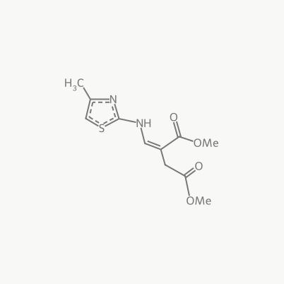 COC(=O)CC(=CNc1nc(C)cs1)C(=O)OC